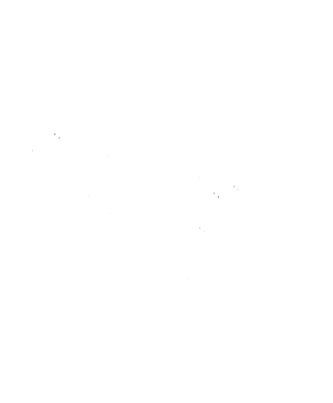 CN(C)c1cccc2c(S(=O)(=O)Oc3ccc(C(=O)n4nc(-c5ccccc5)c(F)c4NCc4ccc(Cl)s4)cc3)cccc12